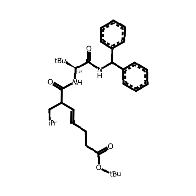 CC(C)CC(C=CCCC(=O)OC(C)(C)C)C(=O)N[C@H](C(=O)NC(c1ccccc1)c1ccccc1)C(C)(C)C